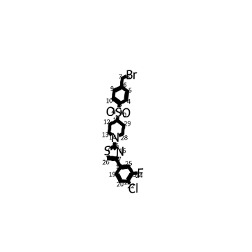 O=S(=O)(c1ccc(CBr)cc1)C1CCN(c2nc(-c3ccc(Cl)c(F)c3)cs2)CC1